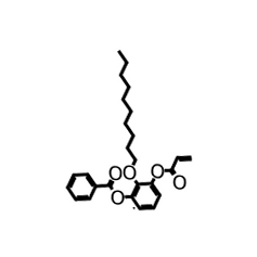 C=CC(=O)Oc1cc[c]c(OC(=O)c2ccccc2)c1OCCCCCCCCCC